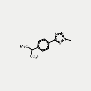 COC(C(=O)O)c1ccc(-c2nnn(C)n2)cc1